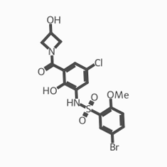 COc1ccc(Br)cc1S(=O)(=O)Nc1cc(Cl)cc(C(=O)N2CC(O)C2)c1O